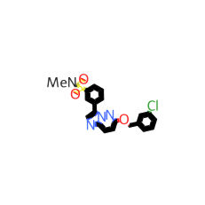 CNS(=O)(=O)c1cccc(-c2cnc3ccc(OCc4cccc(Cl)c4)nn23)c1